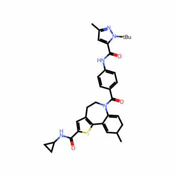 Cc1cc(C(=O)Nc2ccc(C(=O)N3CCc4cc(C(=O)NC5CC5)sc4C4=CC(C)CC=C43)cc2)n(C(C)(C)C)n1